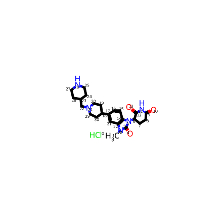 Cl.Cn1c(=O)n(C2CCC(=O)NC2=O)c2ccc(C3CCN(CC4CCNCC4)CC3)cc21